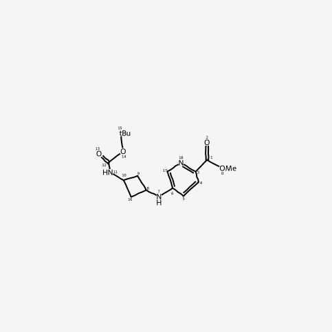 COC(=O)c1ccc(NC2CC(NC(=O)OC(C)(C)C)C2)cn1